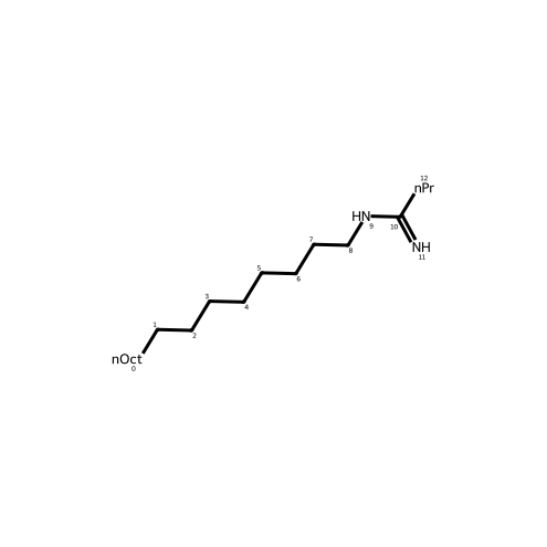 CCCCCCCCCCCCCCCCNC(=N)CCC